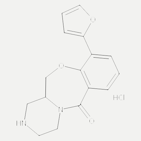 Cl.O=C1c2cccc(-c3ccco3)c2OCC2CNCCN12